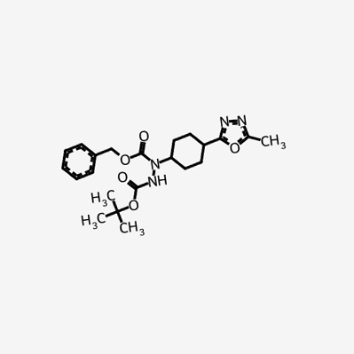 Cc1nnc(C2CCC(N(NC(=O)OC(C)(C)C)C(=O)OCc3ccccc3)CC2)o1